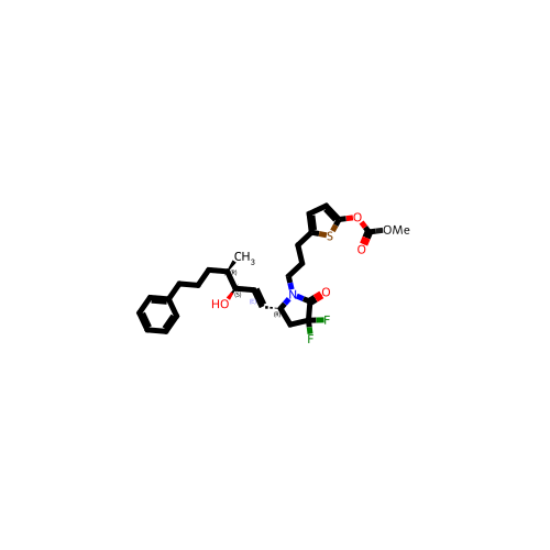 COC(=O)Oc1ccc(CCCN2C(=O)C(F)(F)C[C@@H]2/C=C/[C@@H](O)[C@H](C)CCCc2ccccc2)s1